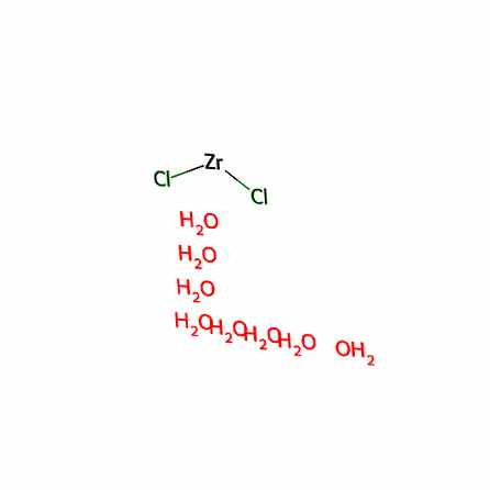 O.O.O.O.O.O.O.O.[Cl][Zr][Cl]